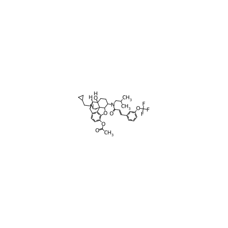 CC(=O)Oc1ccc2c3c1OC1C(N(CC(C)C)C(=O)/C=C/c4cccc(OC(F)(F)F)c4)CC[C@@]4(O)[C@@H](C2)N(CC2CC2)CC[C@]314